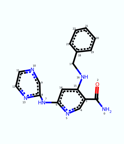 NC(=O)c1cnc(Nc2cnccn2)cc1NCc1ccccc1